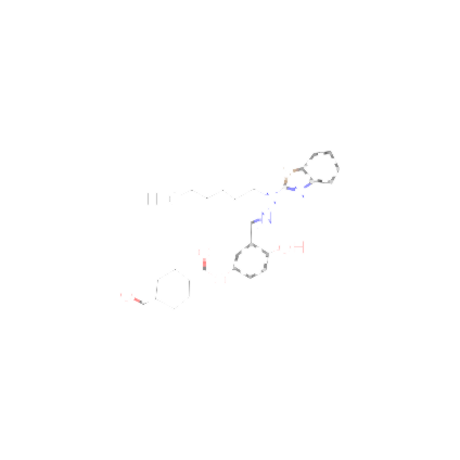 CCCCCCN(/N=C/c1cc(OC(=O)[C@H]2CC[C@H](C=O)CC2)ccc1O)c1nc2ccccc2s1